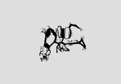 CCOC(=O)c1c(-c2ccccc2OC(F)(F)F)noc1C1CC1